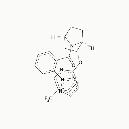 O=C(c1ccccc1-n1nccn1)N1[C@@H]2CC[C@H]1[C@H](Oc1ncc(C(F)(F)F)cn1)C2